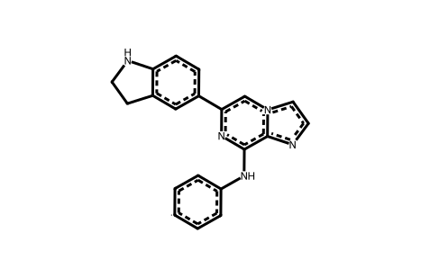 [c]1ccc(Nc2nc(-c3ccc4c(c3)CCN4)cn3ccnc23)cc1